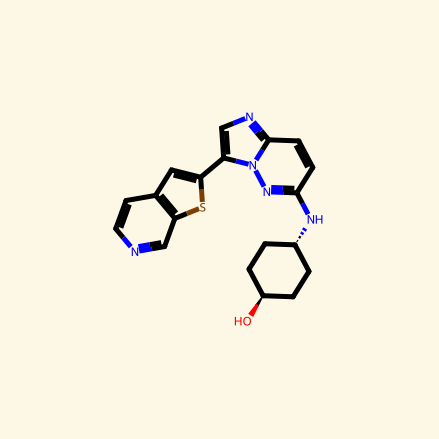 O[C@H]1CC[C@H](Nc2ccc3ncc(-c4cc5ccncc5s4)n3n2)CC1